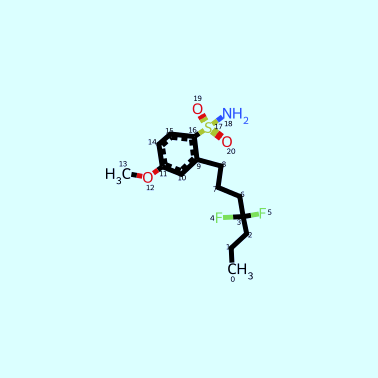 CCCC(F)(F)CCCc1cc(OC)ccc1S(N)(=O)=O